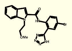 COCCn1c(C(=O)Nc2ccc(Br)cc2-c2nnn[nH]2)cc2ccccc21